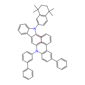 CC1(C)CCC(C)(C)c2cc(-n3c4ccccc4c4cc(N(c5cccc(-c6ccccc6)c5)c5ccc(-c6ccccc6)cc5-c5ccccc5)ccc43)ccc21